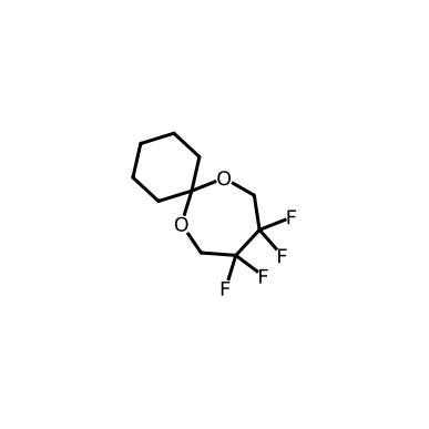 FC1(F)COC2(CCCCC2)OCC1(F)F